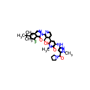 Cn1nc(Nc2cc(-c3ccnc(-n4ncc5cc(C(C)(C)C)cc(F)c5c4=O)c3CO)cn(C)c2=O)cc1C(=O)N1CCCC1